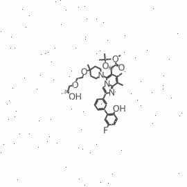 COC(=O)[C@@H](OC(C)(C)C)c1c(C)c(C)c2nc(-c3cccc(-c4cc(F)ccc4O)c3)cn2c1N1CCC(C)(OCCOC[C@@H](C)O)CC1